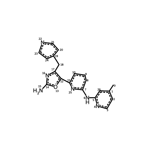 Cc1ccnc(Nc2cccc(-c3oc(N)nc3Cc3ccncc3)n2)c1